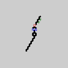 CCCCCCCCCCCc1ccc(-c2ncc(OCCC(F)CC(F)CC)cn2)cc1